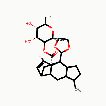 CO[C@@H]1O[C@H](C)[C@@H](O)[C@@H](O)[C@@H]1OC(=O)[C@]12C(C(C)C)=CC3CC1(C1OCCO1)C1CCC(C)C1CC32